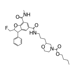 CCCCOC(=O)N1CCOC(CCCNC(=O)c2cc(C(=O)NC)c3c(c2)C(c2ccccc2)C(CF)O3)C1